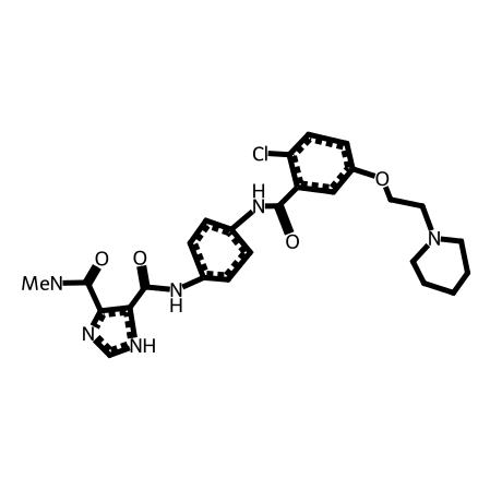 CNC(=O)c1nc[nH]c1C(=O)Nc1ccc(NC(=O)c2cc(OCCN3CCCCC3)ccc2Cl)cc1